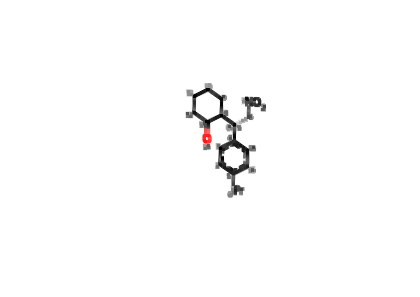 CC(C)c1ccc([C@@H](C[N+](=O)[O-])C2CCCCC2=O)cc1